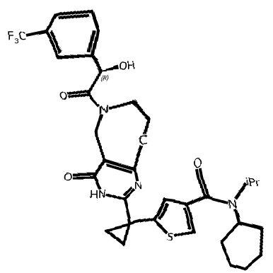 CC(C)N(C(=O)c1csc(C2(c3nc4c(c(=O)[nH]3)CN(C(=O)[C@H](O)c3cccc(C(F)(F)F)c3)CCC4)CC2)c1)C1CCCCC1